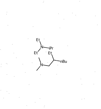 CCCCC(CC)CN(C)C.CCN(CC)C(C)C